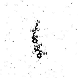 CN(C)CCCC(=O)NCCc1cc2ccc(Nc3ncc(Cl)c(-c4c[nH]c5ccccc45)n3)cc2[nH]1